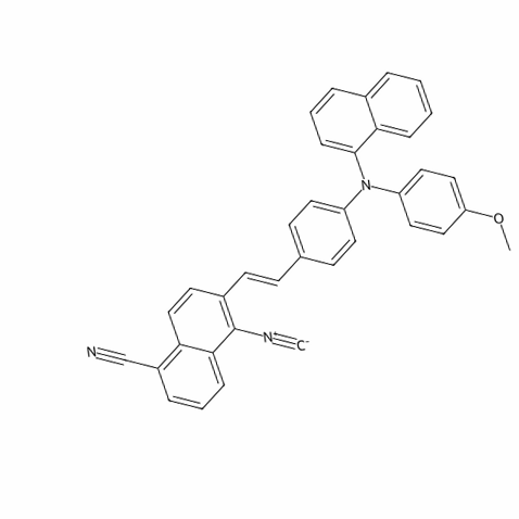 [C-]#[N+]c1c(C=Cc2ccc(N(c3ccc(OC)cc3)c3cccc4ccccc34)cc2)ccc2c(C#N)cccc12